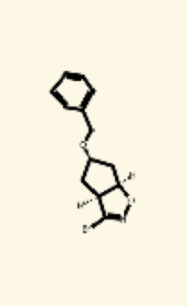 BrC1=NO[C@@H]2C[C@H](OCc3ccccc3)C[C@H]12